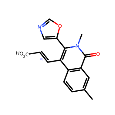 Cc1ccc2c(/C=C/C(=O)O)c(-c3cnco3)n(C)c(=O)c2c1